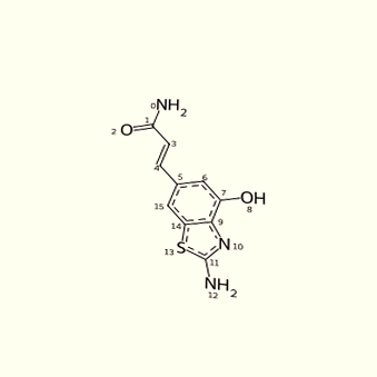 NC(=O)/C=C/c1cc(O)c2nc(N)sc2c1